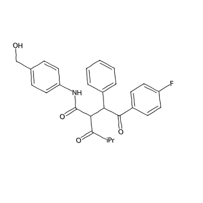 CC(C)C(=O)C(C(=O)Nc1ccc(CO)cc1)C(C(=O)c1ccc(F)cc1)c1ccccc1